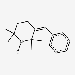 CC1(C)CCC(=Cc2ccccc2)C(C)(C)N1[O]